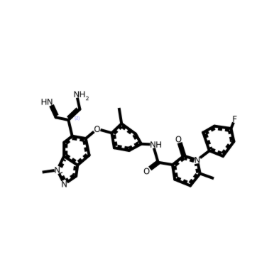 Cc1cc(NC(=O)c2ccc(C)n(-c3ccc(F)cc3)c2=O)ccc1Oc1cc2cnn(C)c2cc1/C(C=N)=C/N